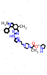 CC(C(=O)OC[C@@H]1CCCN1)N1CCN(CCn2ccc(Nc3ncc4c(n3)-c3c(cn(C)c3-c3ccccc3)C[C@H]4C)n2)CC1